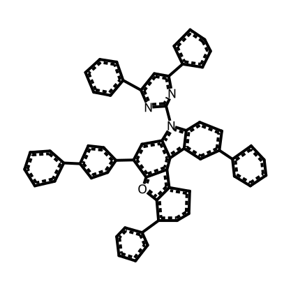 c1ccc(-c2ccc(-c3cc4c(c5cc(-c6ccccc6)ccc5n4-c4nc(-c5ccccc5)cc(-c5ccccc5)n4)c4c3oc3c(-c5ccccc5)cccc34)cc2)cc1